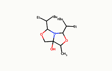 CCCCC(CC)C1OCC2(O)C(C)OC(C(CC)CCCC)N12